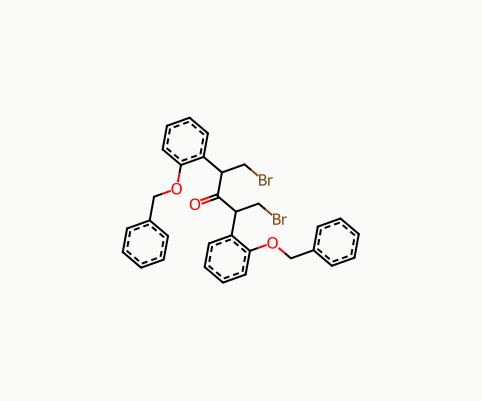 O=C(C(CBr)c1ccccc1OCc1ccccc1)C(CBr)c1ccccc1OCc1ccccc1